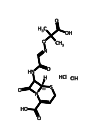 CC(C)(ON=CC(=O)NC1C(=O)N2C(C(=O)O)=CCS[C@@H]12)C(=O)O.Cl.Cl